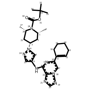 C[C@@H]1C[C@H](n2cc(Nc3nc(C4=CCCCC4)cn4ncnc34)cn2)C[C@H](C)N1C(=O)OC(C)(C)C